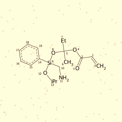 C=CC(=O)OC(C)(CC)O[Si](CN)(OC(C)C)c1ccccc1